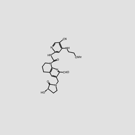 COCCNc1cc(NC(=O)N2CCCc3cc(CN4CC[C@@H](O)C4=O)c(C=O)nc32)ncc1C#N